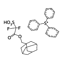 O=C(OCC12CC3CC(CC(C3)C1)C2)C(F)(F)S(=O)(=O)O.c1ccc([S+](c2ccccc2)c2ccccc2)cc1